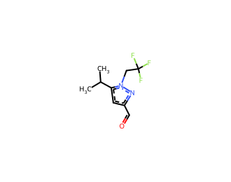 CC(C)c1cc(C=O)nn1CC(F)(F)F